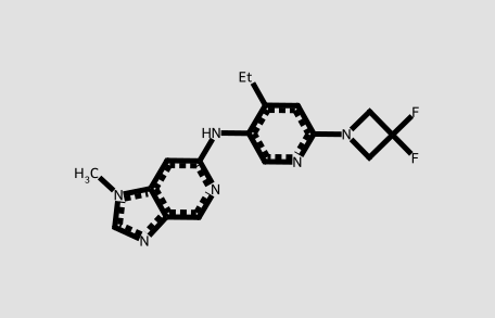 CCc1cc(N2CC(F)(F)C2)ncc1Nc1cc2c(cn1)ncn2C